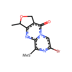 CSc1nc(Br)cn2c(=O)c3c(nc12)C(C)OC3